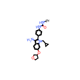 CC(C)NC(=O)Nc1ccc(-c2c(N)c3ccc(OC4CCOC4)cc3n2CC2CC2)cc1